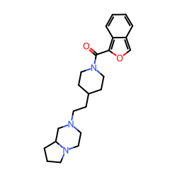 O=C(c1occ2ccccc12)N1CCC(CCN2CCN3CCCC3C2)CC1